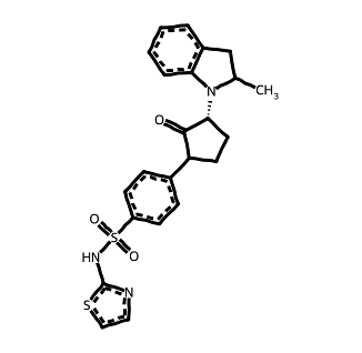 CC1Cc2ccccc2N1[C@@H]1CCC(c2ccc(S(=O)(=O)Nc3nccs3)cc2)C1=O